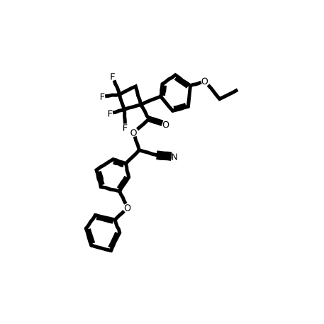 CCOc1ccc(C2(C(=O)OC(C#N)c3cccc(Oc4ccccc4)c3)CC(F)(F)C2(F)F)cc1